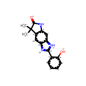 CC1(C)C(=O)Nc2cc3[nH]c(-c4ccccc4O)nc3cc21